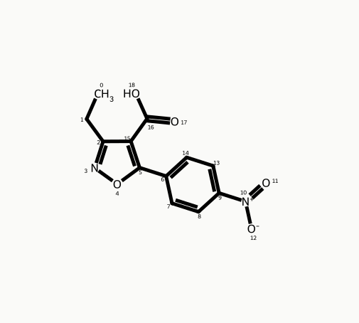 CCc1noc(-c2ccc([N+](=O)[O-])cc2)c1C(=O)O